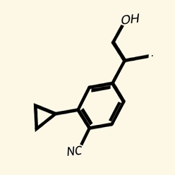 [CH2]C(CO)c1ccc(C#N)c(C2CC2)c1